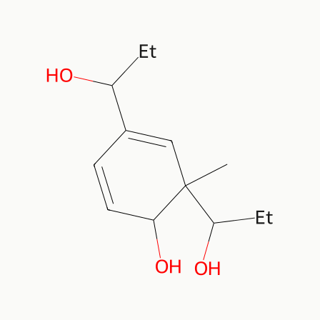 CCC(O)C1=CC(C)(C(O)CC)C(O)C=C1